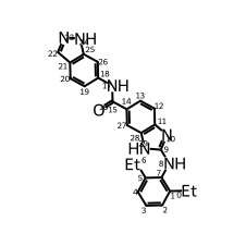 CCc1cccc(CC)c1Nc1nc2ccc(C(=O)Nc3ccc4cn[nH]c4c3)cc2[nH]1